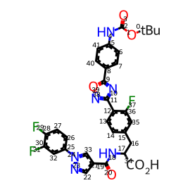 CC(C)(C)OC(=O)Nc1ccc(-c2nc(-c3ccc(CC(NC(=O)c4cnn(-c5ccc(F)c(F)c5)c4)C(=O)O)cc3F)no2)cc1